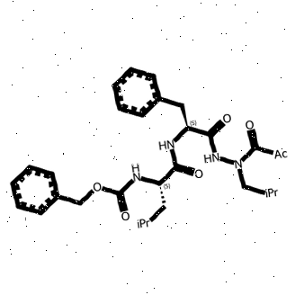 CC(=O)C(=O)N(CC(C)C)NC(=O)[C@H](Cc1ccccc1)NC(=O)[C@H](CC(C)C)NC(=O)OCc1ccccc1